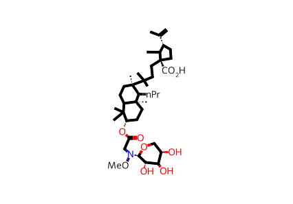 C=C(C)[C@@H]1CC[C@@](CCC(C)(C)[C@]2(C)CCC3C(C)(C)[C@@H](OC(=O)CN(OC)[C@@H]4OC[C@@H](O)C(O)[C@@H]4O)CC[C@]3(C)C2CCC)(C(=O)O)C1C